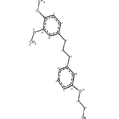 COc1ccc(CCCc2cccc(OCCO)c2)cc1OC